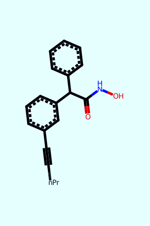 CCCC#Cc1cccc(C(C(=O)NO)c2ccccc2)c1